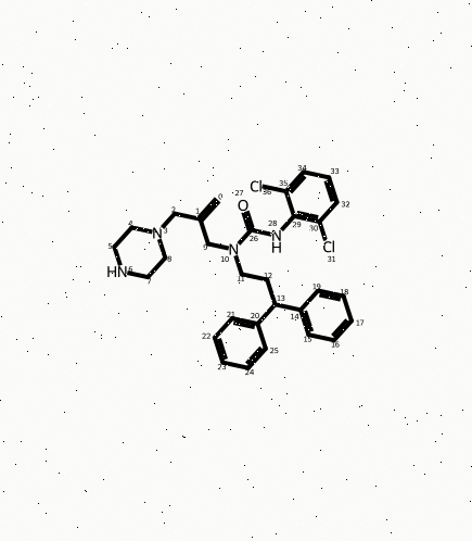 C=C(CN1CCNCC1)CN(CCC(c1ccccc1)c1ccccc1)C(=O)Nc1c(Cl)cccc1Cl